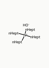 CCCCCCC[N+](CCCCCCC)(CCCCCCC)CCCCCCC.[OH-]